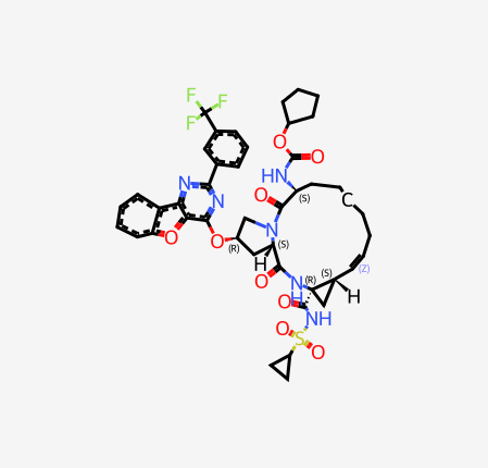 O=C(N[C@H]1CCCCC/C=C\[C@@H]2C[C@@]2(C(=O)NS(=O)(=O)C2CC2)NC(=O)[C@@H]2C[C@@H](Oc3nc(-c4cccc(C(F)(F)F)c4)nc4c3oc3ccccc34)CN2C1=O)OC1CCCC1